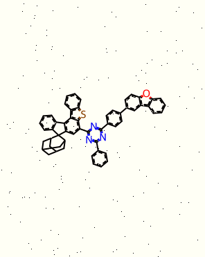 c1ccc(-c2nc(-c3ccc(-c4ccc5oc6ccccc6c5c4)cc3)nc(-c3cc4c(c5c3sc3ccccc35)-c3ccccc3C43C4CC5CC(C4)CC3C5)n2)cc1